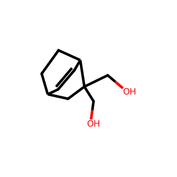 OCC1(CO)CC2C=CC1CC2